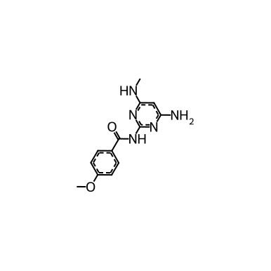 CNc1cc(N)nc(NC(=O)c2ccc(OC)cc2)n1